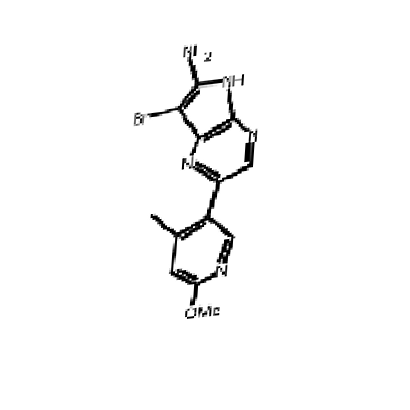 COc1cc(C)c(-c2cnc3[nH]c(N)c(Br)c3n2)cn1